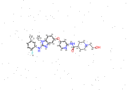 Cn1c(Nc2cc(C(F)(F)F)ccc2F)nc2cc(Oc3ccnc(NC(=O)C4CCN(CCO)CC4)c3)ccc21